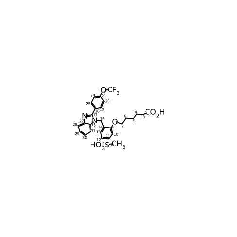 CS(=O)(=O)O.O=C(O)CCCCCOc1ccccc1Cn1c(-c2ccc(OC(F)(F)F)cc2)nc2ccccc21